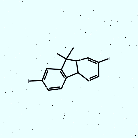 CC1(C)c2cc(I)ccc2C2C=CC(I)=CC21